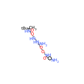 C[C@@H](NC(=O)COCCNCCN/C=C(\N)COCCOCCNC(=O)c1ccc(N)cc1)C(C)(C)C